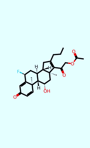 CCCC1=C(C(=O)COC(C)=O)[C@@]2(C)C[C@H](O)[C@H]3[C@@H](C[C@H](F)C4=CC(=O)C=C[C@@]43C)[C@@H]2C1